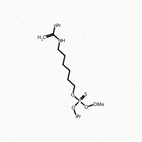 C=C(CCC)NCCCCCCOP(=S)(OOC)OC(C)C